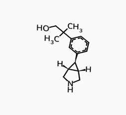 CC(C)(CO)c1cccc([C@H]2[C@@H]3CNC[C@@H]32)c1